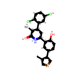 Cc1cscc1-c1ccc(O)c(-c2cc(-c3cc(Cl)ccc3Cl)c(C#N)c(=O)[nH]2)c1